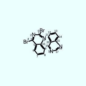 Brc1nc(Br)c2ccccc2n1.c1ccc2ncncc2c1